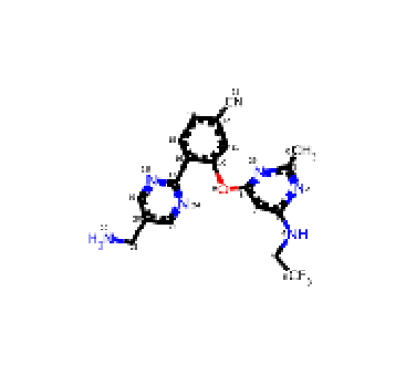 Cc1nc(NCC(F)(F)F)cc(Oc2cc(C#N)ccc2-c2ncc(CN)cn2)n1